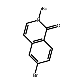 CCC(C)n1ccc2cc(Br)ccc2c1=O